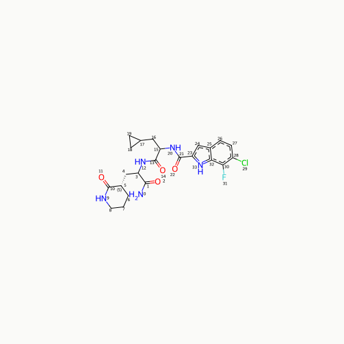 NC(=O)C(C[C@@H]1CCCNC1=O)NC(=O)C(CC1CC1)NC(=O)c1cc2ccc(Cl)c(F)c2[nH]1